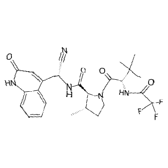 C[C@H]1CCN(C(=O)[C@@H](NC(=O)C(F)(F)F)C(C)(C)C)[C@@H]1C(=O)N[C@@H](C#N)c1cc(=O)[nH]c2ccccc12